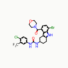 O=C(Nc1ccc(Cl)c(C(F)(F)F)c1)NC1CCc2[nH]c3c(Br)ccc(C(=O)N4CCOCC4)c3c2C1